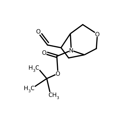 CC(C)(C)OC(=O)N1C2COCC1C(C=O)C2